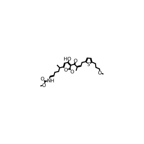 COCCCc1ccc(C/C=C(/C)C(=O)c2c(O)cc(C(C)CC/C=C/NC(=O)OC)oc2=O)s1